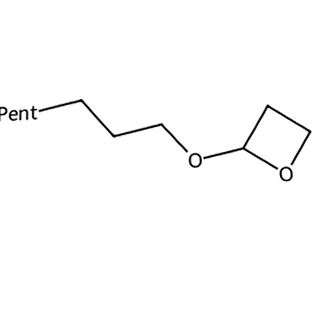 CCCCCCCCOC1CCO1